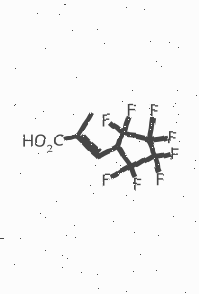 CC(=CC1C(F)(F)C(F)(F)C(F)(F)C1(F)F)C(=O)O